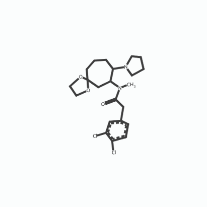 CN(C(=O)Cc1ccc(Cl)c(Cl)c1)C1CC2(CCCC1N1CCCC1)OCCO2